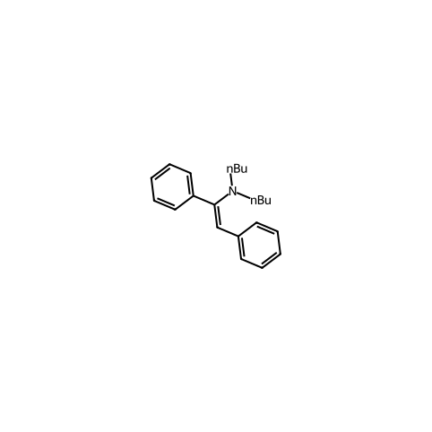 CCCCN(CCCC)C(=Cc1ccccc1)c1ccccc1